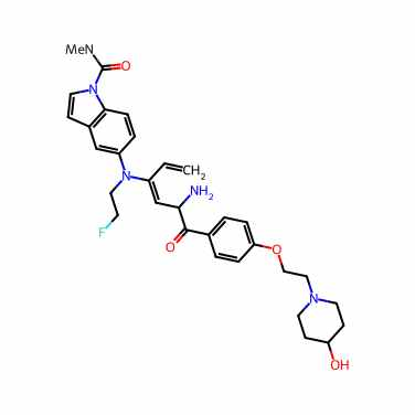 C=C/C(=C\C(N)C(=O)c1ccc(OCCN2CCC(O)CC2)cc1)N(CCF)c1ccc2c(ccn2C(=O)NC)c1